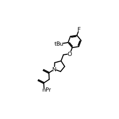 C=C(CCC)CC(=C)N1CCC(COc2ccc(F)cc2C(C)(C)C)C1